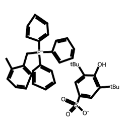 CC(C)(C)c1cc(S(=O)(=O)[O-])cc(C(C)(C)C)c1O.Cc1ccccc1C[P+](c1ccccc1)(c1ccccc1)c1ccccc1